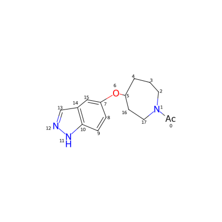 CC(=O)N1CCCC(Oc2ccc3[nH]ncc3c2)CC1